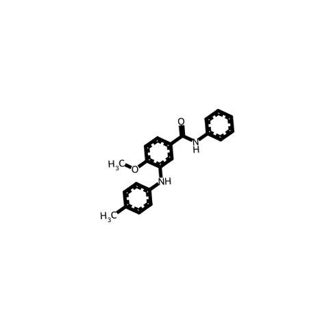 COc1ccc(C(=O)Nc2ccccc2)cc1Nc1ccc(C)cc1